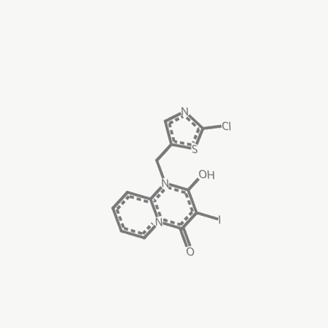 O=c1c(I)c(O)n(Cc2cnc(Cl)s2)c2cccc[n+]12